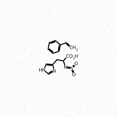 C=Cc1ccccc1.O=C(O)C(Cc1c[nH]cn1)N=S(=O)=O